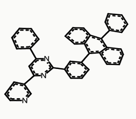 c1ccc(-c2cc(-c3cccnc3)nc(-c3cccc(-c4c5ccccc5c(-c5ccccc5)c5ccccc45)c3)n2)cc1